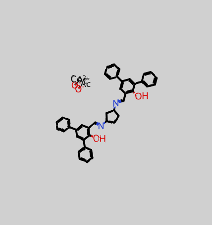 CC(=O)[O-].CC(=O)[O-].Oc1c(C=NC2CCC(N=Cc3cc(-c4ccccc4)cc(-c4ccccc4)c3O)C2)cc(-c2ccccc2)cc1-c1ccccc1.[Co+2]